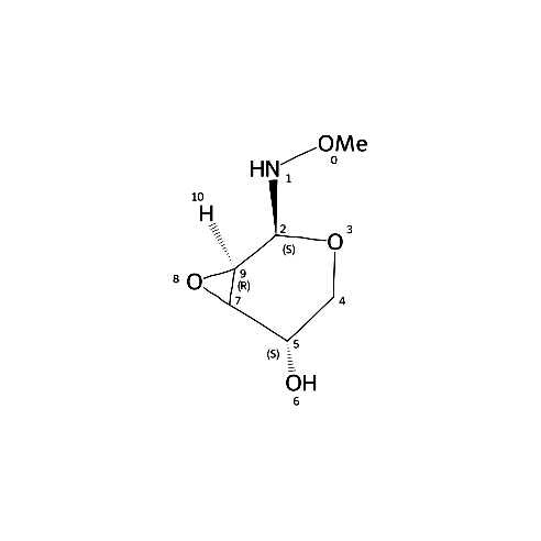 CON[C@H]1OC[C@H](O)C2O[C@H]21